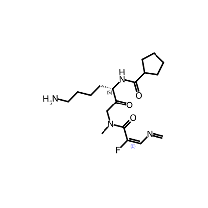 C=N/C=C(/F)C(=O)N(C)CC(=O)[C@H](CCCCN)NC(=O)C1CCCC1